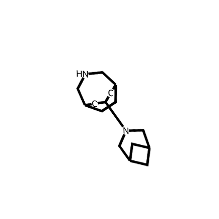 C1CC2CNCC1CC(N1CC3CC(C3)C1)C2